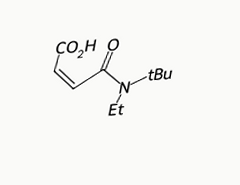 CCN(C(=O)/C=C\C(=O)O)C(C)(C)C